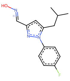 CC(C)Cc1cc(/C=N/O)nn1-c1ccc(F)cc1